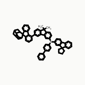 CC1(C)c2ccc(-c3cccc4c3-c3ccccc3C43C4CC5CC(C4)CC3C5)cc2-c2cc(N(c3ccc(-c4ccccc4)cc3)c3ccc4c(c3)C3(CCCC3)c3ccccc3-4)ccc21